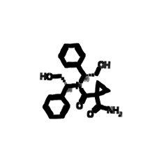 NC(=O)C1(C(=O)N([C@@H](CO)c2ccccc2)[C@@H](CO)c2ccccc2)CC1